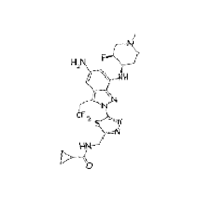 CN1CC[C@@H](Nc2cc(N)cc3c(CC(F)(F)F)n(-c4nnc(CNC(=O)C5CC5)s4)nc23)[C@@H](F)C1